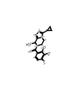 CC1c2nnc(C3CC3)n2CCN1C(=O)c1ccc(F)c(Cl)c1Cl